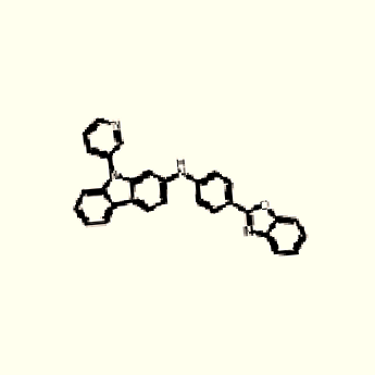 c1cncc(-n2c3ccccc3c3ccc(Nc4ccc(-c5nc6ccccc6o5)cc4)cc32)c1